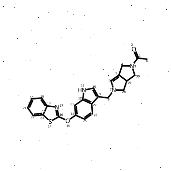 CC(=O)N1CC2=CN(Cc3c[nH]c4cc(Oc5nc6ccccc6s5)ccc34)CC2C1